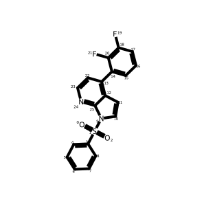 O=S(=O)(c1ccccc1)n1ccc2c(-c3cccc(F)c3F)ccnc21